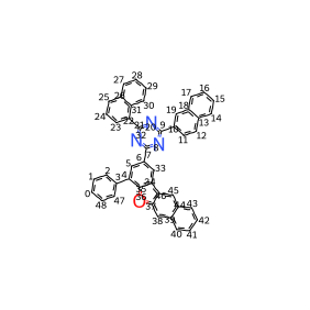 c1ccc(-c2cc(-c3nc(-c4ccc5ccccc5c4)nc(-c4cccc5ccccc45)n3)cc3c2oc2cc4ccccc4cc23)cc1